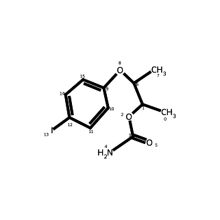 CC(OC(N)=O)C(C)Oc1ccc(I)cc1